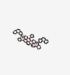 CC1(C)c2cc(N(c3ccc4ccc5ccccc5c4c3)c3ccccc3-c3ccccc3)ccc2-c2c(-c3ccccc3)c3ccc(N(c4ccc5ccc6ccccc6c5c4)c4ccccc4-c4ccccc4)cc3c3cccc1c23